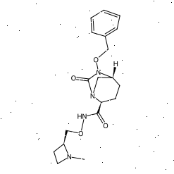 CN1CC[C@H]1CONC(=O)[C@@H]1CC[C@@H]2CN1C(=O)N2OCc1ccccc1